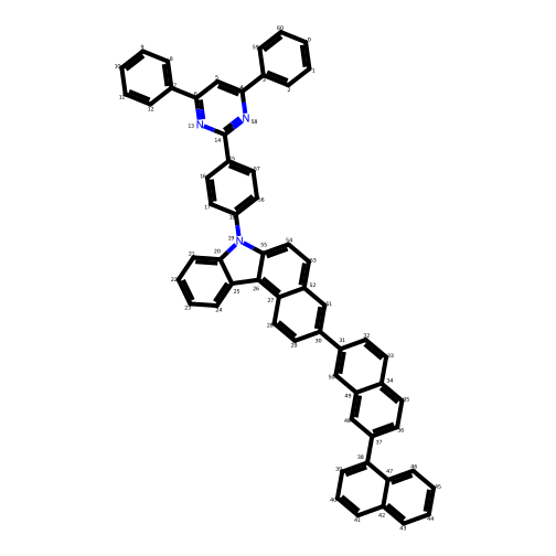 c1ccc(-c2cc(-c3ccccc3)nc(-c3ccc(-n4c5ccccc5c5c6ccc(-c7ccc8ccc(-c9cccc%10ccccc9%10)cc8c7)cc6ccc54)cc3)n2)cc1